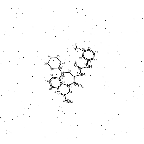 CC(C)(C)C(=O)CN1C(=O)C(NC(=O)Nc2cccc(C(F)(F)F)c2)CN(C2CCCCC2)c2ccccc21